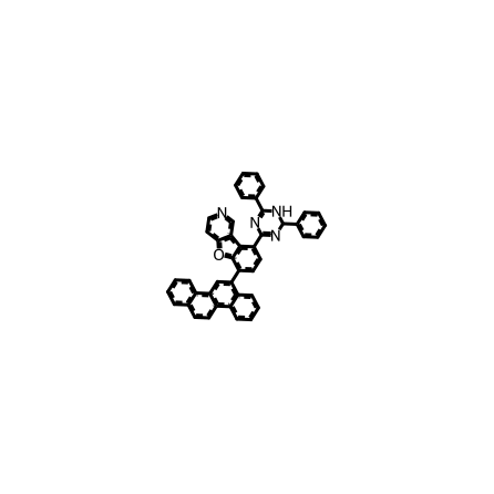 c1ccc(C2=NC(c3ccc(-c4cc5c6ccccc6ccc5c5ccccc45)c4oc5ccncc5c34)=NC(c3ccccc3)N2)cc1